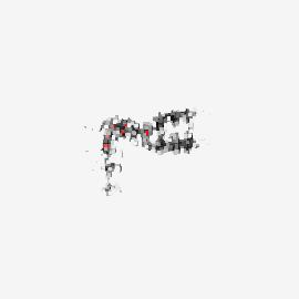 CC(C)C[C@H](N)C(=O)[O-].CC(C)C[C@H](N)C(=O)[O-].CC(N)=O.C[N+](C)(C)CCO.C[N+](C)(C)CCO.C[N+](C)(C)CCO.N=C(N)NCCC[C@H](N)C(=O)O.N=C(N)NCCC[C@H](N)C(=O)O.N=C(N)NCCC[C@H](N)C(=O)O.N=C(N)NCCC[C@H](N)C(=O)[O-]